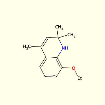 CCOc1cccc2c1NC(C)(C)C=C2C